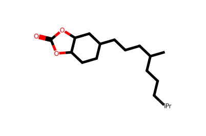 CC(C)CCCC(C)CCCC1CCC2OC(=O)OC2C1